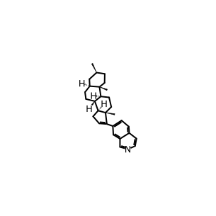 C[C@H]1CC[C@@]2(C)[C@@H](CC[C@@H]3[C@@H]2CC[C@]2(C)C(c4ccc5ccncc5c4)=CC[C@@H]32)C1